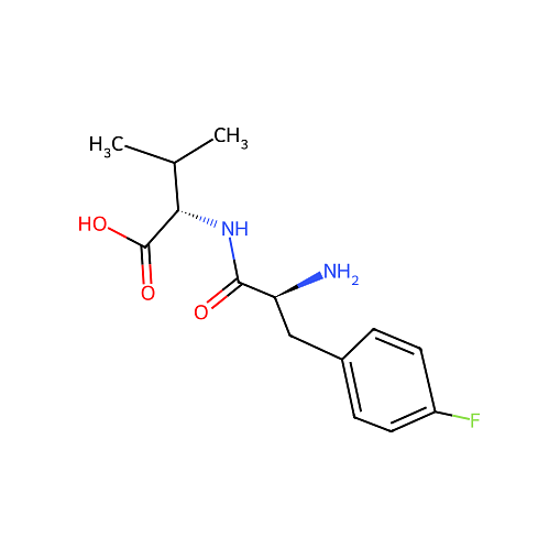 CC(C)[C@H](NC(=O)[C@@H](N)Cc1ccc(F)cc1)C(=O)O